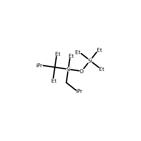 CCC(CC)(C(C)C)[Si](CC)(CC(C)C)O[Si](CC)(CC)CC